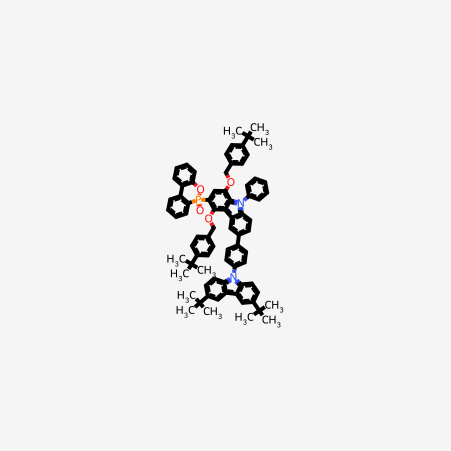 CC(C)(C)c1ccc(COc2c(P3(=O)Oc4ccccc4-c4ccccc43)cc(OCc3ccc(C(C)(C)C)cc3)c3c2c2cc(-c4ccc(-n5c6ccc(C(C)(C)C)cc6c6cc(C(C)(C)C)ccc65)cc4)ccc2n3-c2ccccc2)cc1